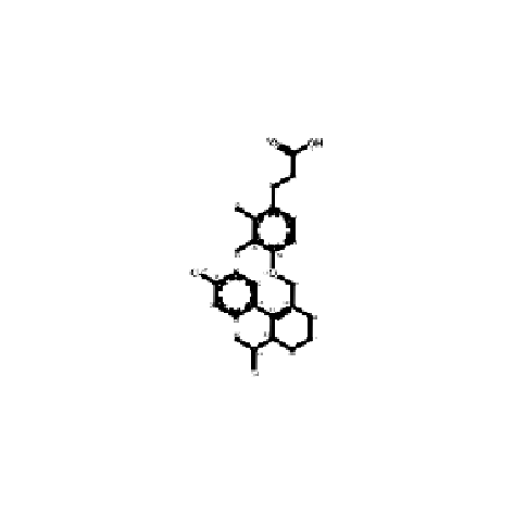 Cc1c(CCC(=O)O)ccc(OCC2=C(c3ccc(Cl)cc3)C(C(C)C)CCC2)c1C